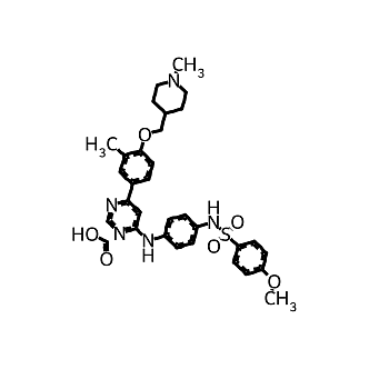 COc1ccc(S(=O)(=O)Nc2ccc(Nc3cc(-c4ccc(OCC5CCN(C)CC5)c(C)c4)ncn3)cc2)cc1.O=CO